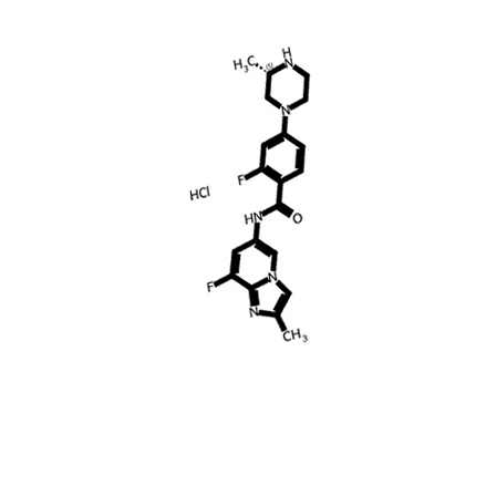 Cc1cn2cc(NC(=O)c3ccc(N4CCN[C@@H](C)C4)cc3F)cc(F)c2n1.Cl